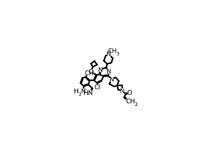 C=CC(=O)N1CC2(CCN(c3nc(C4CCN(C)CC4)nc4c(OC5CCC5)c(-c5c(C)ccc(N)c5C=N)c(Cl)cc34)CC2)C1